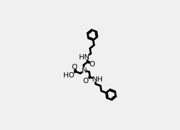 O=C(O)CN(CC(=O)NCCCc1ccccc1)CC(=O)NCCCc1ccccc1